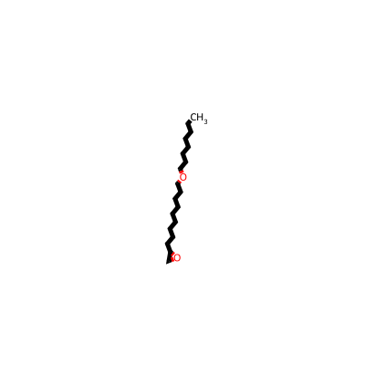 CCCCCCCCOCCCCCCCCCC1CO1